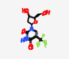 O=c1[nH]c(=O)n([C@H]2C[C@@H](O)[C@@H](CO)O2)cc1C(F)(F)F